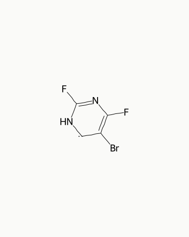 FC1=NC(F)=C(Br)[CH]N1